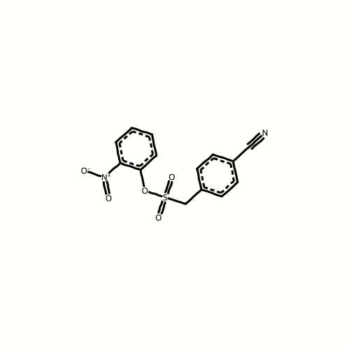 N#Cc1ccc(CS(=O)(=O)Oc2ccccc2[N+](=O)[O-])cc1